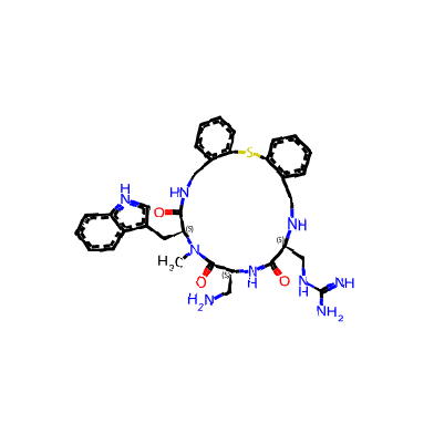 CN1C(=O)[C@H](CN)NC(=O)[C@H](CNC(=N)N)NCc2ccccc2Sc2ccccc2CNC(=O)[C@@H]1Cc1c[nH]c2ccccc12